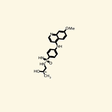 COc1ccc2c(Nc3ccc([S@](=N)(=O)NC[C@@H](C)O)cc3)ccnc2c1